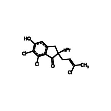 CCCC1(CC=C(C)Cl)Cc2cc(O)c(Cl)c(Cl)c2C1=O